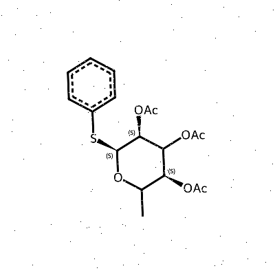 CC(=O)OC1[C@@H](OC(C)=O)C(C)O[C@@H](Sc2ccccc2)[C@H]1OC(C)=O